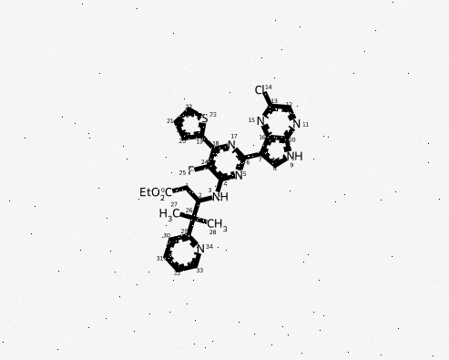 CCOC(=O)CC(Nc1nc(-c2c[nH]c3ncc(Cl)nc23)nc(-c2cccs2)c1F)C(C)(C)c1ccccn1